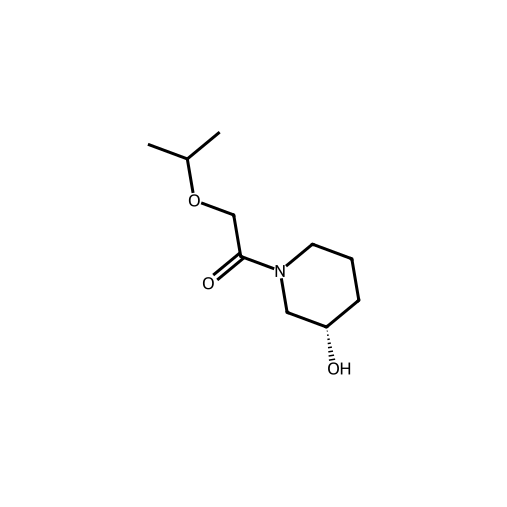 CC(C)OCC(=O)N1CCC[C@H](O)C1